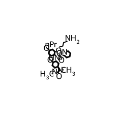 CCCOc1cc(OCCCCN)cc(Oc2cc3c(cc2NS(=O)(=O)c2ccccn2)n(C)c(=O)n3C)c1